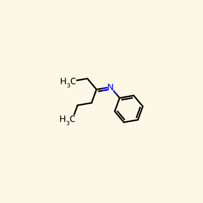 CCC/C(CC)=N\c1ccccc1